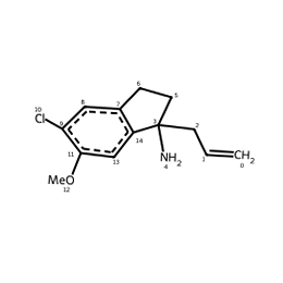 C=CCC1(N)CCc2cc(Cl)c(OC)cc21